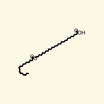 CC/C=C\C/C=C\C/C=C\CCCCCCCC(=O)OCCCCCCCCCCCCCCCCCCCCCCCCCCC(=O)O